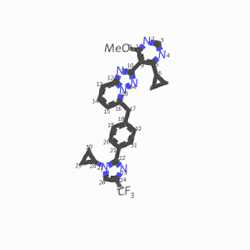 COc1ncnc(C2CC2)c1-c1nc2cccc(Cc3ccc(-c4nc(C(F)(F)F)cn4C4CC4)cc3)n2n1